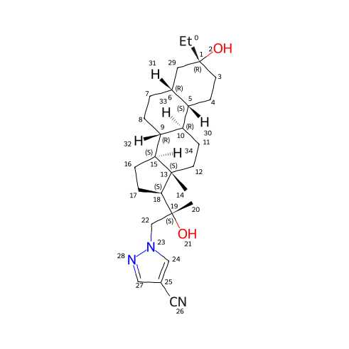 CC[C@@]1(O)CC[C@H]2[C@H](CC[C@@H]3[C@@H]2CC[C@@]2(C)[C@H]3CC[C@@H]2[C@](C)(O)Cn2cc(C#N)cn2)C1